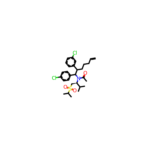 C=CCCCC(c1cccc(Cl)c1)C(c1ccc(Cl)cc1)N(C(C)=O)[C@H](CS(=O)(=O)C(C)C)C(C)C